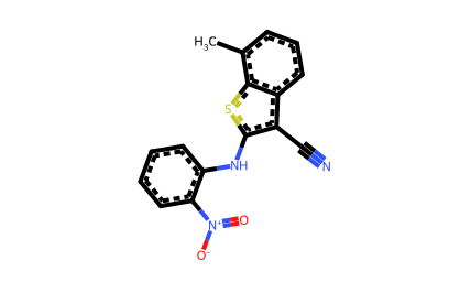 Cc1cccc2c(C#N)c(Nc3ccccc3[N+](=O)[O-])sc12